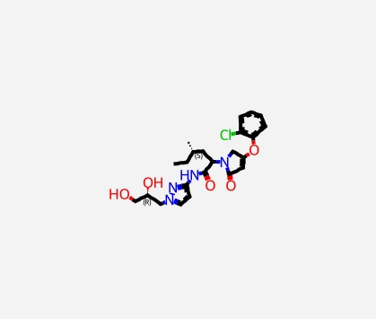 CC[C@H](C)CC(C(=O)Nc1ccn(C[C@@H](O)CO)n1)N1CC(Oc2ccccc2Cl)=CC1=O